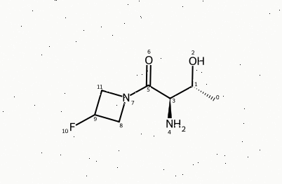 C[C@@H](O)[C@@H](N)C(=O)N1CC(F)C1